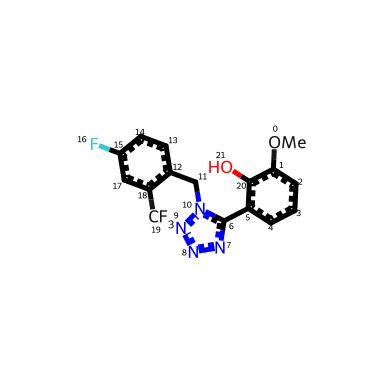 COc1cccc(-c2nnnn2Cc2ccc(F)cc2C(F)(F)F)c1O